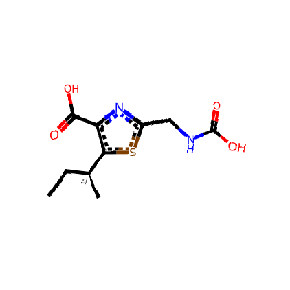 CC[C@H](C)c1sc(CNC(=O)O)nc1C(=O)O